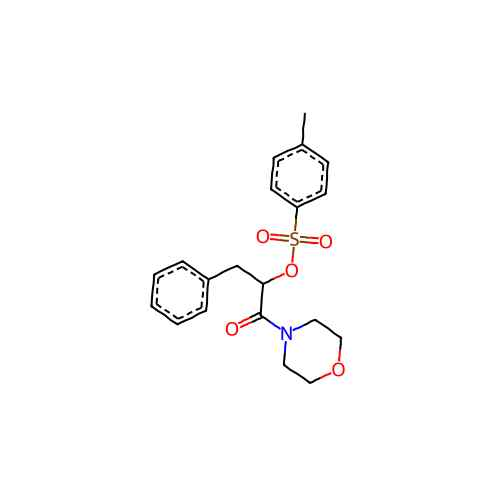 Cc1ccc(S(=O)(=O)OC(Cc2ccccc2)C(=O)N2CCOCC2)cc1